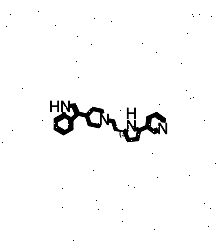 c1cncc(C2CC[C@@H](CCN3CCC(c4c[nH]c5ccccc45)CC3)N2)c1